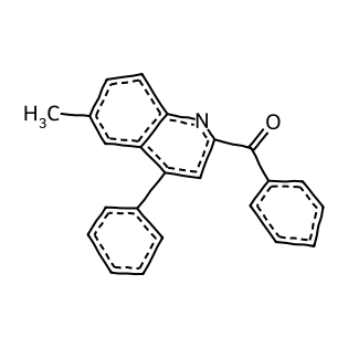 Cc1ccc2nc(C(=O)c3ccccc3)cc(-c3ccccc3)c2c1